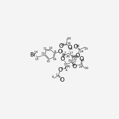 CC(=O)OC[C@H]1O[C@H](Oc2ccc(CBr)cc2)[C@H](OC(C)=O)[C@@H](OC(C)=O)[C@H]1OC(C)=O